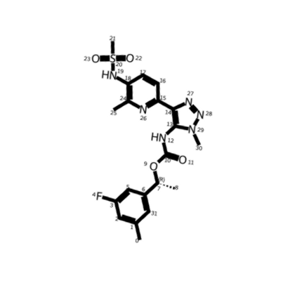 Cc1cc(F)cc([C@@H](C)OC(=O)Nc2c(-c3ccc(NS(C)(=O)=O)c(C)n3)nnn2C)c1